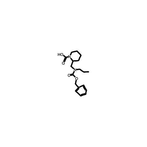 CCCN(CC1CCCCN1C(=O)O)C(=O)OCc1ccccc1